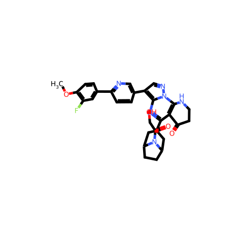 COc1ccc(-c2ccc(-c3cnn4c5c(c(C6CC7CCC(C6)N7C(=O)CO)nc34)C(=O)CCN5)cn2)cc1F